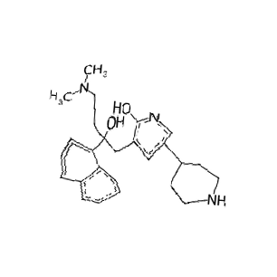 CN(C)CCC(O)(Cc1cc(C2CCNCC2)cnc1O)C1=C=C=Cc2ccccc21